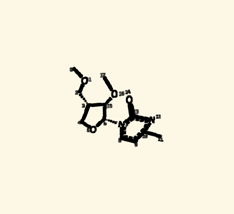 COC[C@H]1CO[C@@H](n2ccc(C)nc2=O)[C@@H]1OC